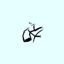 NC(=O)C1(C(F)(F)F)C=CC=CN1